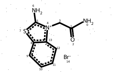 NC(=O)C[n+]1c(N)sc2ccccc21.[Br-]